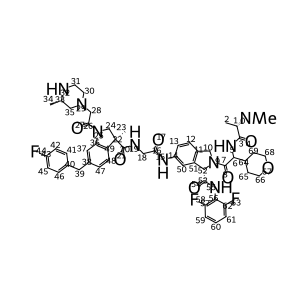 CN[C@@H](C)C(=O)NC(C(=O)N1Cc2ccc(NC(=O)CNC(=O)[C@]3(C)CN(C(=O)CN4CCN[C@H](C)C4)c4cc(Cc5ccc(F)cc5)ccc43)cc2[C@H]1C(=O)Nc1c(F)cccc1F)C1CCOCC1